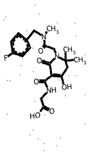 CN(Cc1ccc(F)cc1)C(=O)CN1C(=O)C(C(=O)NCC(=O)O)=C(O)CC1(C)C